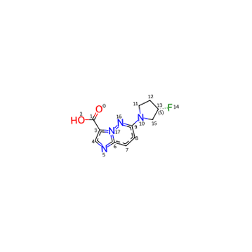 O=C(O)c1cnc2ccc(N3CC[C@H](F)C3)nn12